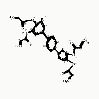 C=CC(=O)Oc1ccc(-c2ccc(-c3cc(F)c(OC(=O)C=C)c(OC(=O)C=C)c3)cc2)cc1OC(=O)C=C